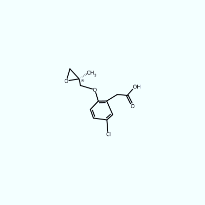 C[C@@]1(COc2ccc(Cl)cc2CC(=O)O)CO1